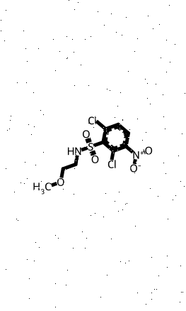 COCCNS(=O)(=O)c1c(Cl)ccc([N+](=O)[O-])c1Cl